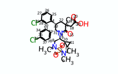 CN(C)S(=O)(=O)N(C)C[C@H](C1CC1)N1C(=O)[C@@](C)(CC(=O)O)C[C@H](c2cccc(Cl)c2)[C@H]1c1ccc(Cl)cc1